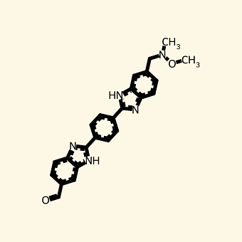 CON(C)Cc1ccc2nc(-c3ccc(-c4nc5ccc(C=O)cc5[nH]4)cc3)[nH]c2c1